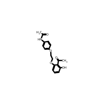 CC(=O)Nc1ccc(OCCOc2cccc(O)c2C(C)=O)cc1